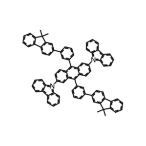 CC1(C)c2ccccc2-c2ccc(-c3cccc(-c4c5ccc(-n6c7ccccc7c7ccccc76)cc5c(-c5cccc(-c6ccc7c(c6)C(C)(C)c6ccccc6-7)c5)c5ccc(-n6c7ccccc7c7ccccc76)cc45)c3)cc21